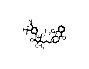 COc1ccccc1C(=O)N1CCN(CCCC2=C(C)C(=O)N(c3ccc(C#N)c(C(F)(F)F)c3)C2=O)CC1